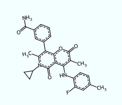 Cc1ccc(Nc2c(C)c(=O)oc3c(-c4cccc(C(N)=O)c4)c(C)n(C4CC4)c(=O)c23)c(F)c1